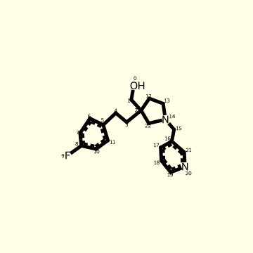 OCC1(CCc2ccc(F)cc2)CCN(Cc2cccnc2)C1